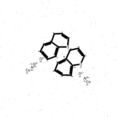 C1=COc2ccccc2C1.C1=COc2ccccc2C1.[Al+3].[Al+3].[Co].[Co].[O-2].[O-2].[O-2]